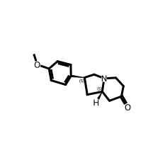 COc1ccc([C@@H]2C[C@H]3CC(=O)CCN3C2)cc1